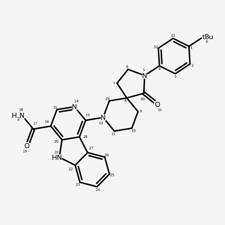 CC(C)(C)c1ccc(N2CCC3(CCCN(c4ncc(C(N)=O)c5[nH]c6ccccc6c45)C3)C2=O)cc1